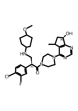 COC1CCC(NC[C@@H](C(=O)N2CCN(c3ncnc4c3C(C)C[C@H]4O)CC2)c2ccc(Cl)c(F)c2)CC1